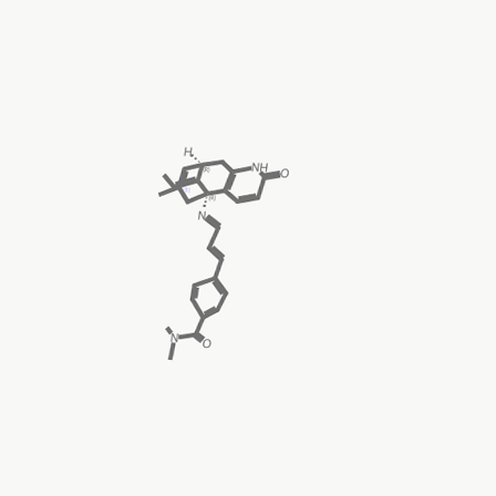 C/C=C1\[C@H]2C=C(C)C[C@]1(N=CC=Cc1ccc(C(=O)N(C)C)cc1)c1ccc(=O)[nH]c1C2